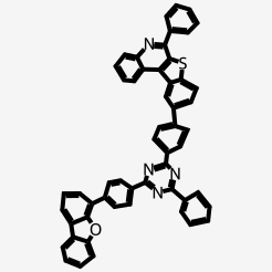 c1ccc(-c2nc(-c3ccc(-c4ccc5sc6c(-c7ccccc7)nc7ccccc7c6c5c4)cc3)nc(-c3ccc(-c4cccc5c4oc4ccccc45)cc3)n2)cc1